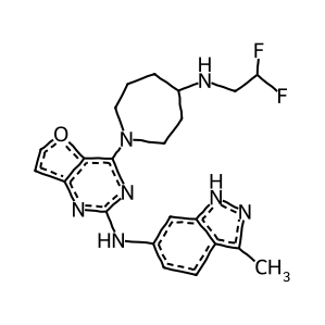 Cc1n[nH]c2cc(Nc3nc(N4CCCC(NCC(F)F)CC4)c4occc4n3)ccc12